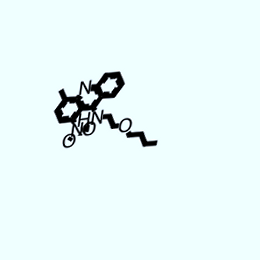 CCCCOCCNc1c2ccccc2nc2c(C)ccc([N+](=O)[O-])c12